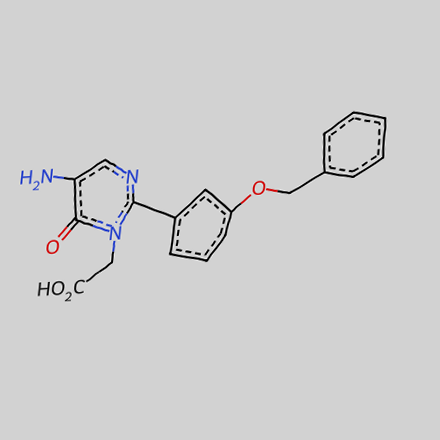 Nc1cnc(-c2cccc(OCc3ccccc3)c2)n(CC(=O)O)c1=O